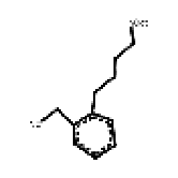 CCCCCCCCCCCCc1ccccc1CC#N